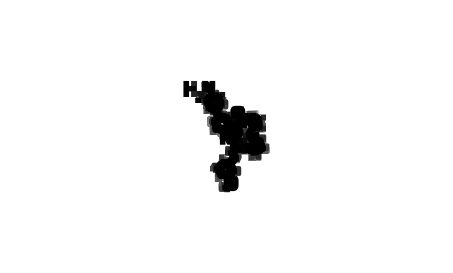 COc1cccc(CCNc2cc(C(=O)N3CCC[C@H]3CN3CCCC3)c3cc(-c4ccc(N)cc4)ccc3n2)c1